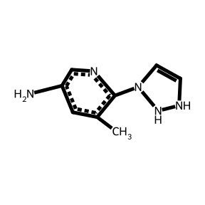 Cc1cc(N)cnc1N1C=CNN1